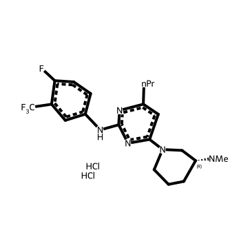 CCCc1cc(N2CCC[C@@H](NC)C2)nc(Nc2ccc(F)c(C(F)(F)F)c2)n1.Cl.Cl